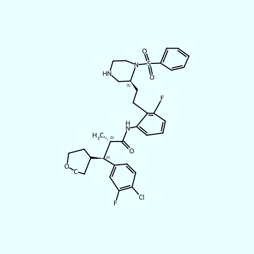 C[C@H](C(=O)Nc1cccc(F)c1CC[C@H]1CNCCN1S(=O)(=O)c1ccccc1)[C@@H](c1ccc(Cl)c(F)c1)C1CCOCC1